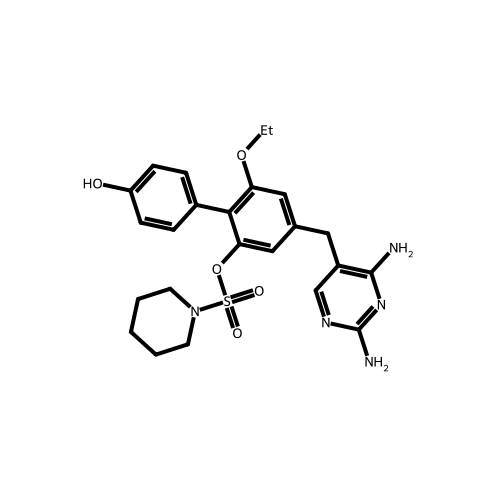 CCOc1cc(Cc2cnc(N)nc2N)cc(OS(=O)(=O)N2CCCCC2)c1-c1ccc(O)cc1